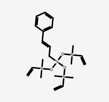 C=C[Si](C)(C)O[Si](CC=Cc1ccccc1)(O[Si](C)(C)C=C)O[Si](C)(C)C=C